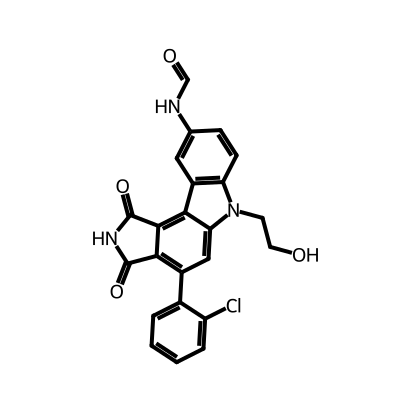 O=CNc1ccc2c(c1)c1c3c(c(-c4ccccc4Cl)cc1n2CCO)C(=O)NC3=O